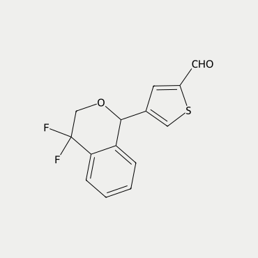 O=Cc1cc(C2OCC(F)(F)c3ccccc32)cs1